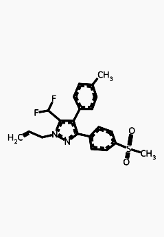 C=CCn1nc(-c2ccc(S(C)(=O)=O)cc2)c(-c2ccc(C)cc2)c1C(F)F